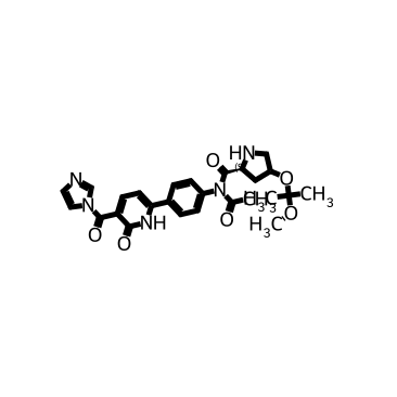 COC(C)(C)OC1CN[C@H](C(=O)N(C(C)=O)c2ccc(-c3ccc(C(=O)n4ccnc4)c(=O)[nH]3)cc2)C1